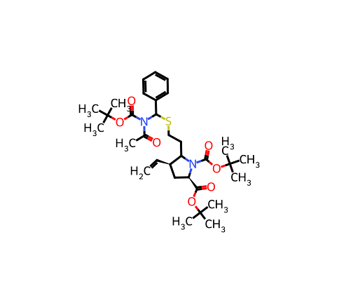 C=C[C@@H]1C[C@H](C(=O)OC(C)(C)C)N(C(=O)OC(C)(C)C)C1CCSC(c1ccccc1)N(C(C)=O)C(=O)OC(C)(C)C